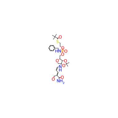 CC1(C)OC2C(COP(=O)(NCc3ccccc3)OCCSC(=O)C(C)(C)C)OCC2(N/C=C\C=C(/C=O)C(N)=O)O1